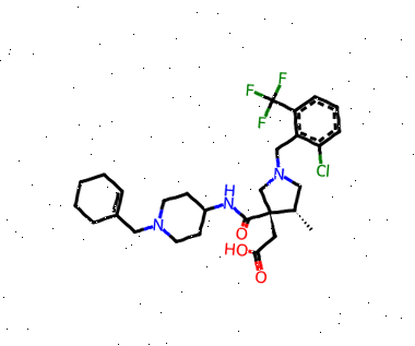 C[C@H]1CN(Cc2c(Cl)cccc2C(F)(F)F)C[C@@]1(CC(=O)O)C(=O)NC1CCN(CC2=CCCCC2)CC1